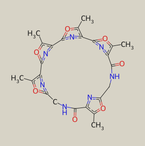 Cc1oc2nc1C(=O)NCc1nc(c(C)o1)-c1nc(c(C)o1)-c1nc(c(C)o1)-c1nc(c(C)o1)C(=O)NC2